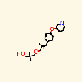 C/C(=C\c1ccc(Oc2cccnc2)cc1)COCC(C)(C)CO